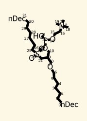 CCCCCCCCCCCCCCCCOCC(COP(O)OCC[N+](C)(C)C)CS(=O)(=O)CCCCCCCCCCCCCCCC